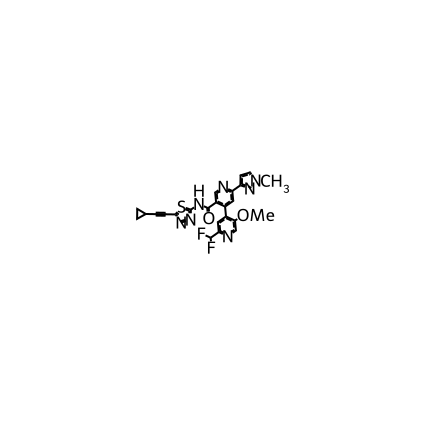 COc1cnc(C(F)F)cc1-c1cc(-c2ccn(C)n2)ncc1C(=O)Nc1nnc(C#CC2CC2)s1